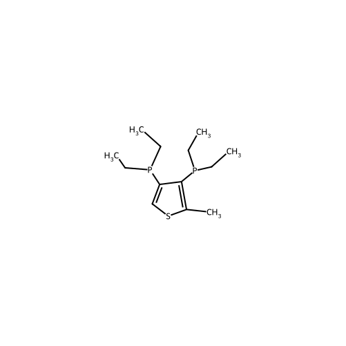 CCP(CC)c1csc(C)c1P(CC)CC